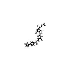 CC(C)CCC(=O)N1CC(=O)C2C1CCN2C(=O)CC(C)CCNC(=O)c1ccc(-c2cccs2)cc1